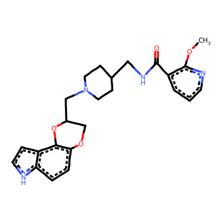 COc1ncccc1C(=O)NCC1CCN(CC2COc3ccc4[nH]ccc4c3O2)CC1